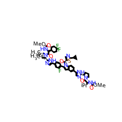 COC(=O)NC(C(=O)N1CCC[C@H]1c1ncc(-c2ccc3c(c2)cc2n3[C@H](c3cnc(C4CC4)s3)Oc3cc(-c4cnc([C@@H]5C[Si](C)(C)CN5C(=O)[C@@H](NC(=O)OC)C5CCC(F)(F)CC5)[nH]4)cc(F)c3-2)[nH]1)C(C)C